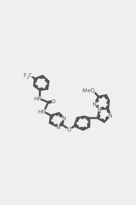 COc1ccc2ncc(-c3ccc(Oc4ncc(NC(=O)Nc5cccc(C(F)(F)F)c5)cn4)cc3)n2n1